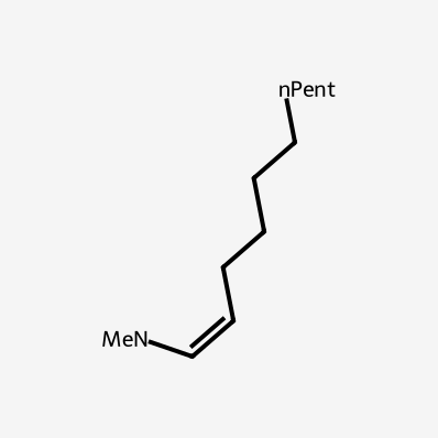 CCCCCCCCC/C=C\NC